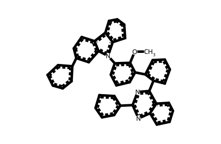 COc1c(-c2ccccc2-c2nc(-c3ccccc3)nc3ccccc23)cccc1-n1c2ccccc2c2ccc(-c3ccccc3)cc21